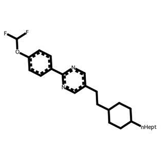 CCCCCCCC1CCC(CCc2cnc(-c3ccc(OC(F)F)cc3)nc2)CC1